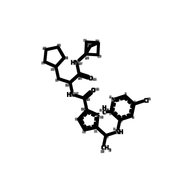 Cc1ncc(Cl)cc1NC(C)c1ccc(C(=O)NC(CC2CCCC2)C(=O)NC23CC(C2)C3)s1